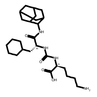 NCCCC[C@H](NC(=O)N[C@H](CC1CCCCC1)C(=O)NC1C2CC3CC(C2)CC1C3)C(=O)O